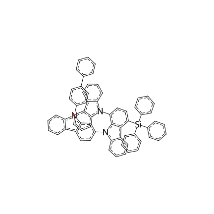 c1ccc(-c2ccc(-n3c4ccccc4c4ccc(-n5c6ccccc6c6c([Si](c7ccccc7)(c7ccccc7)c7ccccc7)ccc(-n7c8ccccc8c8ccccc87)c65)cc43)cc2)cc1